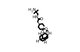 CC(C)(N)CNC(=O)C[C@H]1CC[C@]2(CC1)OO[C@]1(O2)[C@@H]2C[C@H]3C[C@@H](C2)C[C@@H]1C3